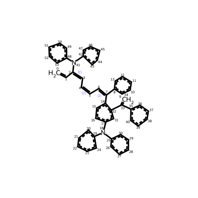 C=C\C(=C/C=C\C=C(\c1ccccc1)c1ccc(N(c2ccccc2)c2ccccc2)cc1C(=C)c1ccccc1)N(c1ccccc1)c1ccccc1